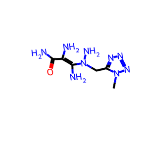 Cn1nnnc1CN(N)/C(N)=C(\N)C(N)=O